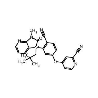 CN1C(=O)[N+](CC(C)(C)C)(c2cc(Oc3ccnc(C#N)c3)ccc2C#N)c2cccnc21